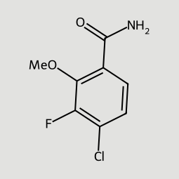 COc1c(C(N)=O)ccc(Cl)c1F